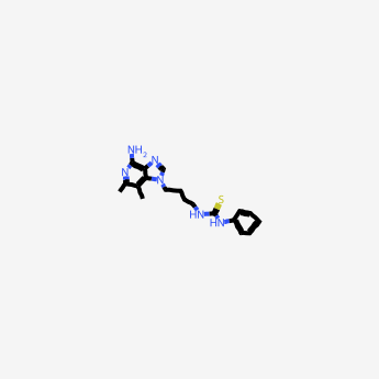 Cc1nc(N)c2ncn(CCCCNC(=S)Nc3ccccc3)c2c1C